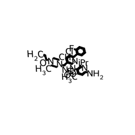 C=CC(=O)N1CC(C)N(C2=NS(=O)(=O)N(c3c(C)cc(N)nc3C(C)C)c3nc(-c4ccccc4F)c(Cl)cc32)CC1C